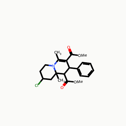 COC(=O)C1=C(C)N2CCC(Cl)CC2(C)C(C(=O)OC)C1c1ccccc1